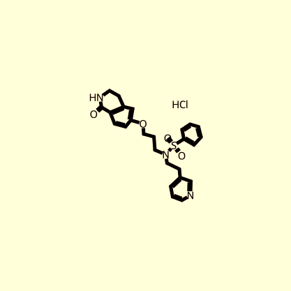 Cl.O=C1NCCc2cc(OCCCN(CCc3cccnc3)S(=O)(=O)c3ccccc3)ccc21